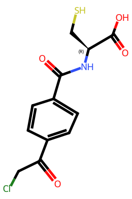 O=C(CCl)c1ccc(C(=O)N[C@@H](CS)C(=O)O)cc1